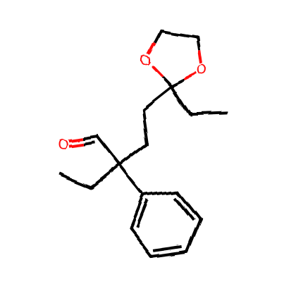 CCC1(CCC(C=O)(CC)c2ccccc2)OCCO1